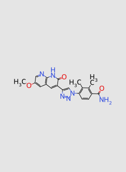 COc1cnc2[nH]c(=O)c(-c3cn(-c4ccc(C(N)=O)c(C)c4C)nn3)cc2c1